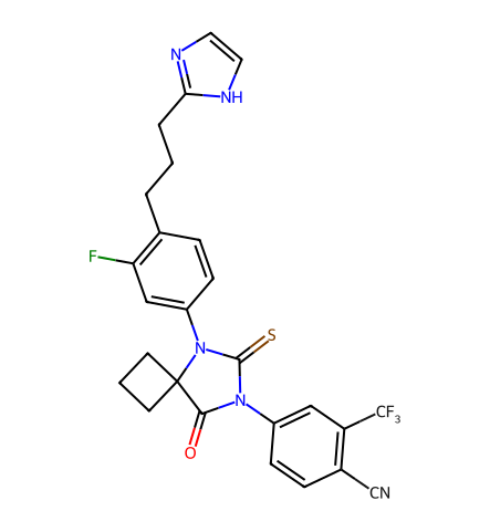 N#Cc1ccc(N2C(=O)C3(CCC3)N(c3ccc(CCCc4ncc[nH]4)c(F)c3)C2=S)cc1C(F)(F)F